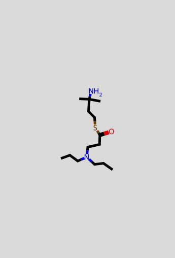 CCCN(CCC)CCC(=O)SCCC(C)(C)N